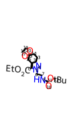 CCOC(=O)c1c2c(nn1CCNC(=O)OC(C)(C)C)CCC1(C2)OCCO1